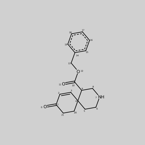 O=C1C=CC2(CCNCC2C(=O)OCc2ccccc2)CC1